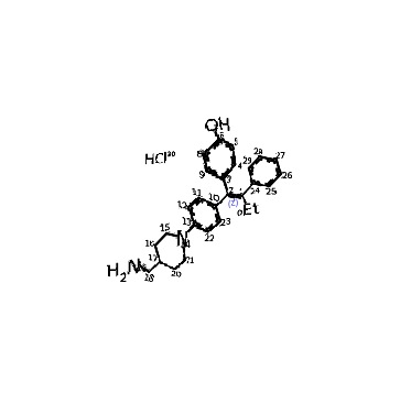 CC/C(=C(/c1ccc(O)cc1)c1ccc(N2CCC(CN)CC2)cc1)c1ccccc1.Cl